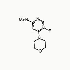 CNc1ncc(F)c(N2CCOCC2)n1